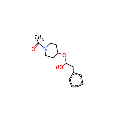 CC(=O)N1CCC(OC(O)Cc2ccccc2)CC1